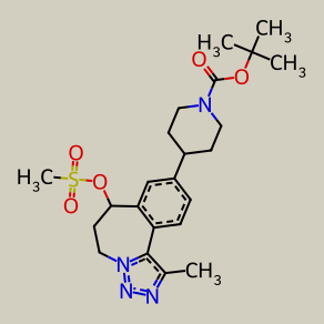 Cc1nnn2c1-c1ccc(C3CCN(C(=O)OC(C)(C)C)CC3)cc1C(OS(C)(=O)=O)CC2